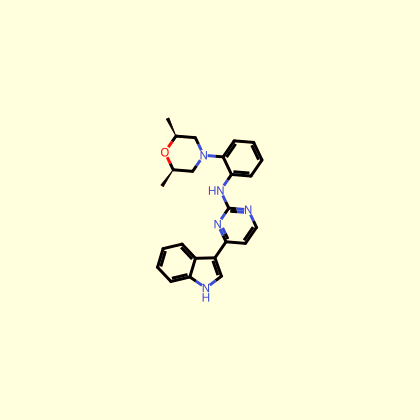 C[C@@H]1CN(c2ccccc2Nc2nccc(-c3c[nH]c4ccccc34)n2)C[C@H](C)O1